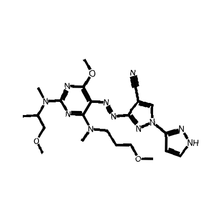 COCCCN(C)c1nc(N(C)C(C)COC)nc(OC)c1N=Nc1nn(-c2cc[nH]n2)cc1C#N